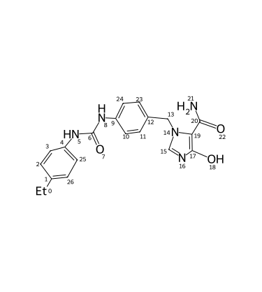 CCc1ccc(NC(=O)Nc2ccc(Cn3cnc(O)c3C(N)=O)cc2)cc1